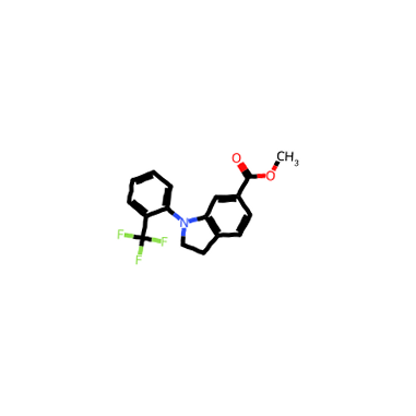 COC(=O)c1ccc2c(c1)N(c1ccccc1C(F)(F)F)CC2